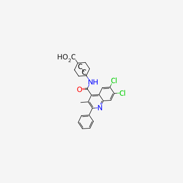 Cc1c(-c2ccccc2)nc2cc(Cl)c(Cl)cc2c1C(=O)NC12CCC(C(=O)O)(CC1)CC2